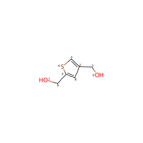 OCc1csc(CO)c1